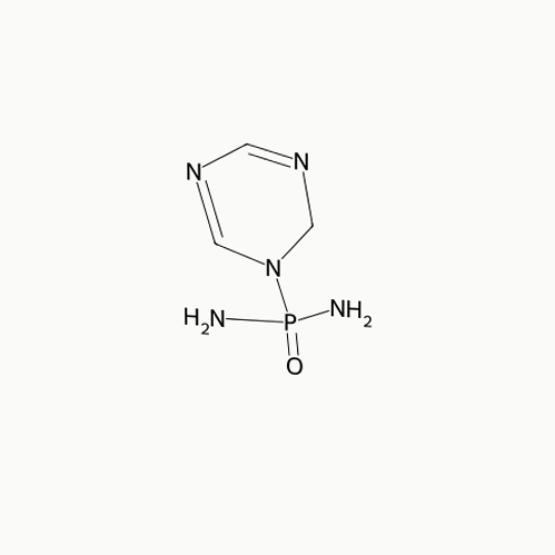 NP(N)(=O)N1C=NC=NC1